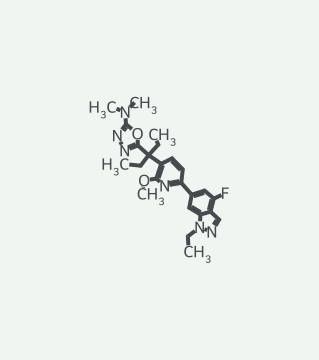 CCn1ncc2c(F)cc(-c3ccc(C(CC)(CC)c4nnc(N(C)C)o4)c(OC)n3)cc21